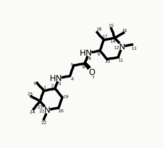 CC1C(NCCC(=O)NC2CCN(C)C(C)(C)C2C)CCN(C)C1(C)C